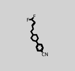 N#Cc1ccc(C2CCC(CCC=CC(F)F)CC2)cc1